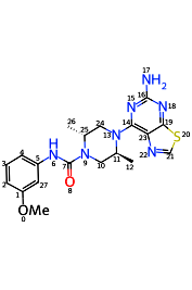 COc1cccc(NC(=O)N2C[C@H](C)N(c3nc(N)nc4scnc34)C[C@H]2C)c1